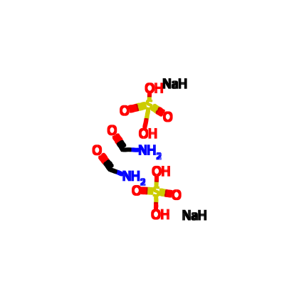 NC=O.NC=O.O=S(=O)(O)O.O=S(=O)(O)O.[NaH].[NaH]